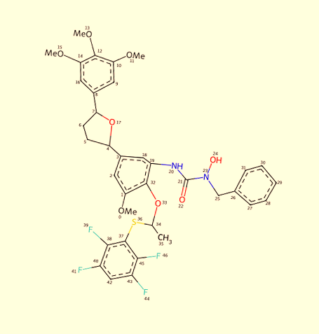 COc1cc(C2CCC(c3cc(OC)c(OC)c(OC)c3)O2)cc(NC(=O)N(O)Cc2ccccc2)c1OC(C)Sc1c(F)c(F)cc(F)c1F